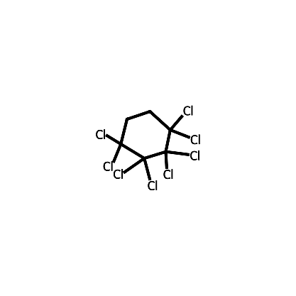 ClC1(Cl)CCC(Cl)(Cl)C(Cl)(Cl)C1(Cl)Cl